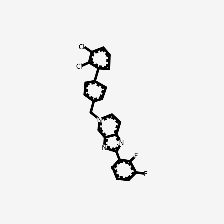 Fc1cccc(-c2nc3ccn(Cc4ccc(-c5cccc(Cl)c5Cl)cc4)cc-3n2)c1F